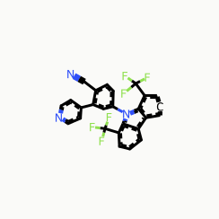 N#Cc1ccc(-n2c3c(C(F)(F)F)cccc3c3cccc(C(F)(F)F)c32)cc1-c1ccncc1